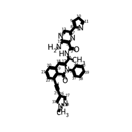 C[C@H](NC(=O)c1nc(C2=CCC=N2)cnc1N)c1cc2cccc(C#Cc3cnn(C)c3)c2c(=O)n1-c1ccccc1